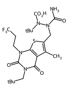 Cc1c(CN(C(N)=O)N(C(=O)O)C(C)(C)C)sc2c1c(=O)n(CC(C)(C)C)c(=O)n2CCC(F)(F)F